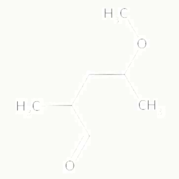 COC(C)CC(C)C=O